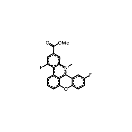 COC(=O)c1cc(F)c2c3cccc4c3c([n+](C)c2c1)-c1cc(F)ccc1O4